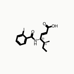 CC[C@H](C)[C@@H](C=CC(=O)O)NC(=O)c1ccccc1I